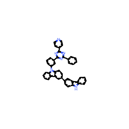 c1ccc(-c2nc(-c3ccncc3)nc(-c3cccc(-n4c5ccccc5c5cc(-c6ccc7[nH]c8ccccc8c7c6)ccc54)c3)n2)cc1